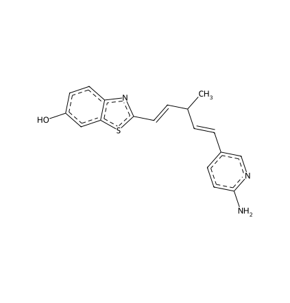 CC(/C=C/c1ccc(N)nc1)/C=C/c1nc2ccc(O)cc2s1